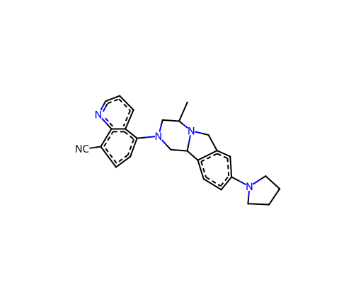 CC1CN(c2ccc(C#N)c3ncccc23)CC2c3ccc(N4CCCC4)cc3CN12